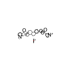 C[n+]1cccc(C(=O)OOc2ccc3c(c2)CCC2C3CC[C@@]3(C)C2CC[C@@H]3C(=O)c2ccc[n+](C)c2)c1.[I-].[I-]